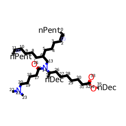 CCCCC/C=C\CCCC(CCC/C=C\CCCCC)CN(C(=O)CCCCN(C)C)C(CCCCCCCCCC)CCCCCCC(=O)OCCCCCCCCCC